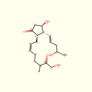 CCCCC(O)C/C=C/[C@H]1[C@H](O)CC(=O)[C@@H]1C/C=C\CCC(C)C(=O)CO